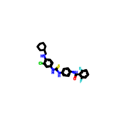 O=C(Nc1ccc(NC(=S)Nc2ccc(NCC3CCCCC3)c(Cl)c2)cc1)c1c(F)cccc1F